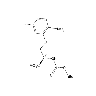 Cc1ccc(N)c(OC[C@@H](NC(=O)OC(C)(C)C)C(=O)O)c1